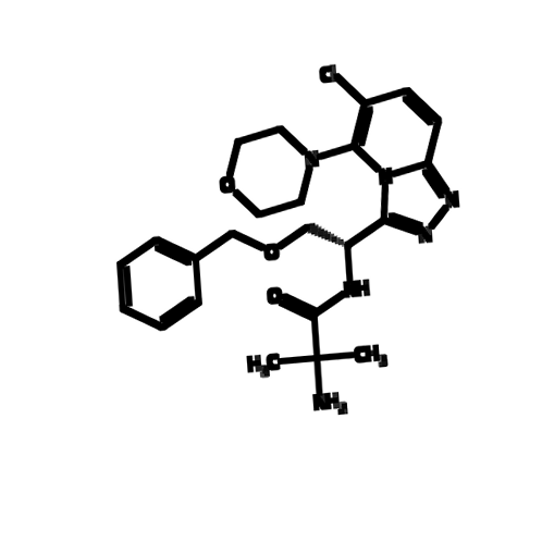 CC(C)(N)C(=O)N[C@H](COCc1ccccc1)c1nnc2ccc(Cl)c(N3CCOCC3)n12